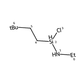 CCN[SiH](Cl)CCC(C)(C)C